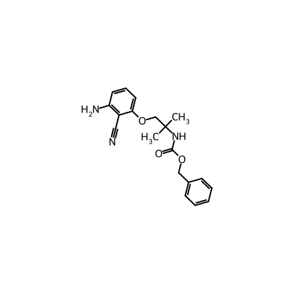 CC(C)(COc1cccc(N)c1C#N)NC(=O)OCc1ccccc1